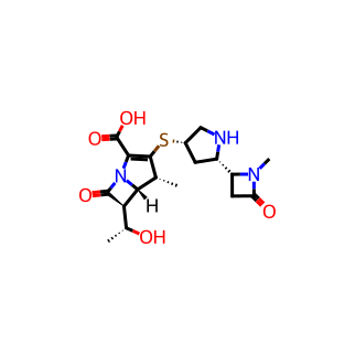 C[C@@H](O)[C@H]1C(=O)N2C(C(=O)O)=C(S[C@@H]3CN[C@H](C4CC(=O)N4C)C3)[C@H](C)[C@H]12